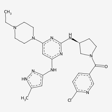 CCN1CCN(c2cc(Nc3cc(C)[nH]n3)nc(N[C@H]3CCN(C(=O)c4ccc(Cl)nc4)C3)n2)CC1